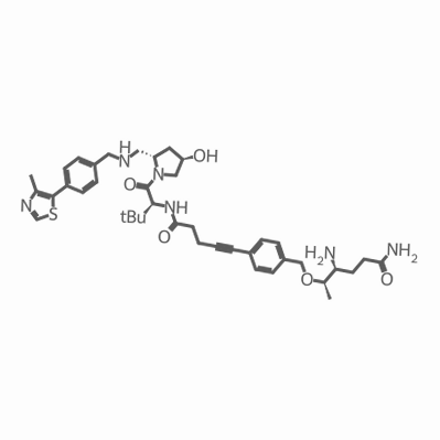 Cc1ncsc1-c1ccc(CNC[C@@H]2C[C@@H](O)CN2C(=O)[C@@H](NC(=O)CCC#Cc2ccc(CO[C@H](C)[C@@H](N)CCC(N)=O)cc2)C(C)(C)C)cc1